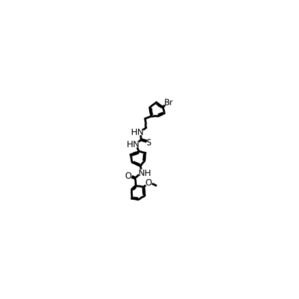 COc1ccccc1C(=O)Nc1ccc(NC(=S)NCCc2ccc(Br)cc2)cc1